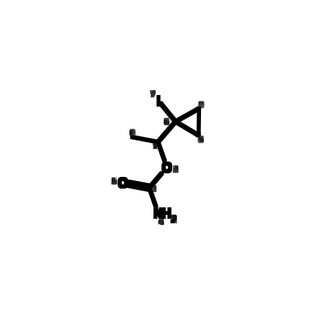 CC(OC(N)=O)C1(I)CC1